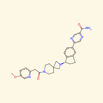 COc1ccc(CC(=O)N2CCC3(CC2)CN([C@@H]2CCc4cc(-c5cnc(C(N)=O)cn5)ccc42)C3)nc1